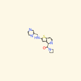 O=C(c1nccc2sc(NCc3cnccn3)cc12)N1CCC1